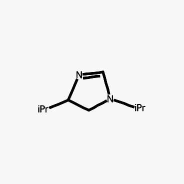 CC(C)C1CN(C(C)C)C=N1